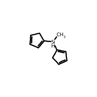 C[SiH](C1=CC=CC1)C1=CC=CC1